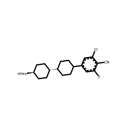 CCCCCC[C@H]1CC[C@H](C2CCC(c3cc(F)c(C#N)c(Cl)c3)CC2)CC1